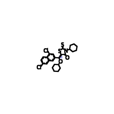 O=C1/C(=C(\OC2CCCCC2)c2cc(Cl)c3ccc(Cl)cc3c2)SC(=S)N1C1CCCCC1